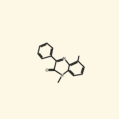 Cc1cccc2c1nc(-c1ccccc1)c(=O)n2C